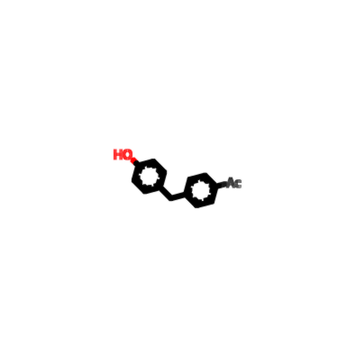 CC(=O)c1ccc(Cc2ccc(O)cc2)cc1